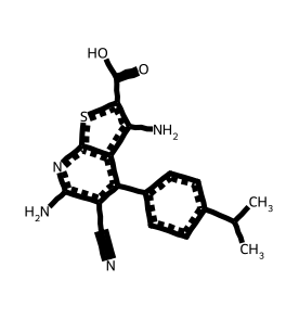 CC(C)c1ccc(-c2c(C#N)c(N)nc3sc(C(=O)O)c(N)c23)cc1